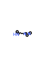 c1ccc2c(CCCCn3ccc4c(N5CCCCC5)cccc43)c[nH]c2c1